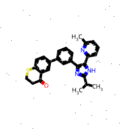 Cc1cccc(-c2[nH]c(C(C)C)nc2-c2cccc(-c3ccc4c(c3)C(=O)CCS4)c2)n1